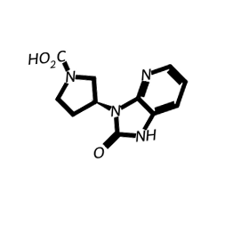 O=C(O)N1CC[C@H](n2c(=O)[nH]c3cccnc32)C1